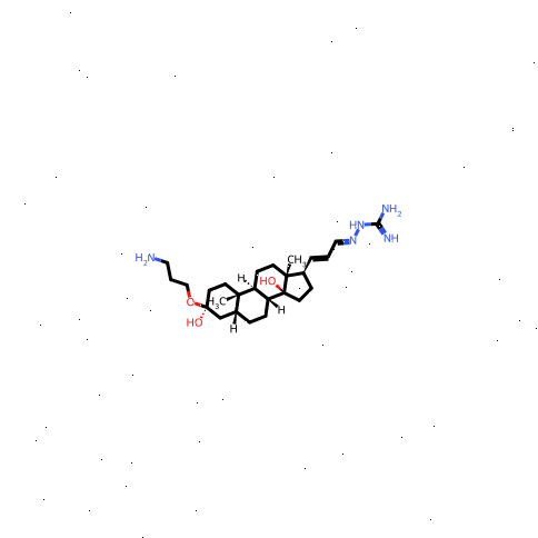 C[C@]12CC[C@](O)(OCCCN)C[C@H]1CC[C@@H]1[C@@H]2CC[C@]2(C)[C@@H](/C=C/C=N/NC(=N)N)CC[C@]12O